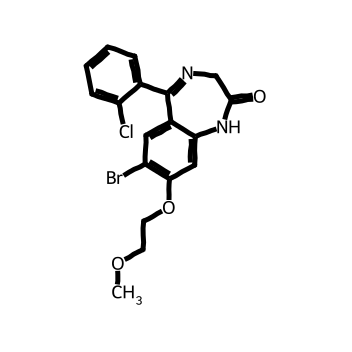 COCCOc1cc2c(cc1Br)C(c1ccccc1Cl)=NCC(=O)N2